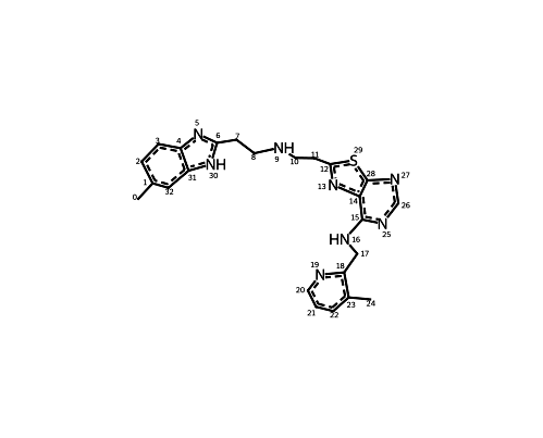 Cc1ccc2nc(CCNCCc3nc4c(NCc5ncccc5C)ncnc4s3)[nH]c2c1